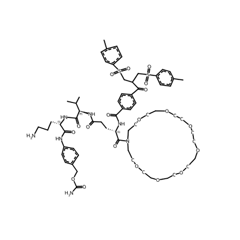 Cc1ccc(S(=O)(=O)CC(CS(=O)(=O)c2ccc(C)cc2)C(=O)c2ccc(C(=O)N[C@@H](CCC(=O)N[C@@H](C(=O)N[C@@H](CCCN)C(=O)Nc3ccc(COC(N)=O)cc3)C(C)C)C(=O)N3CCOCCOCCOCCOCCOCCOCCOCC3)cc2)cc1